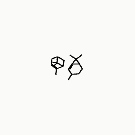 CC1=CCC2CC1C2(C)C.CC1C=C2C(CC1)C2(C)C